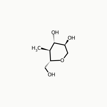 C[C@H]1[C@H](O)[C@@H](O)CO[C@@H]1CO